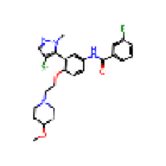 COC1CCN(CCOc2ccc(NC(=O)c3cccc(F)c3)cc2-c2c(Br)cnn2C)CC1